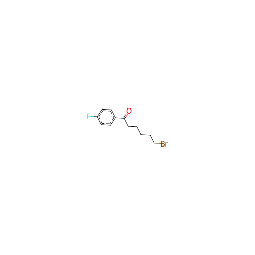 O=C(CCCCCBr)c1ccc(F)cc1